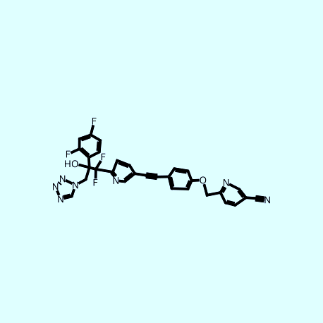 N#Cc1ccc(COc2ccc(C#Cc3ccc(C(F)(F)C(O)(Cn4cnnn4)c4ccc(F)cc4F)nc3)cc2)nc1